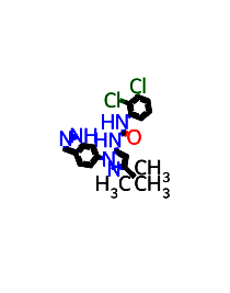 CC(C)(C)c1cc(NC(=O)Nc2cccc(Cl)c2Cl)n(-c2ccc3cn[nH]c3c2)n1